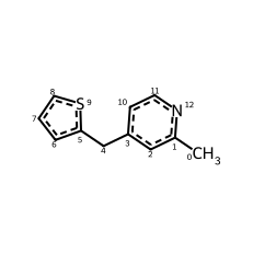 Cc1cc(Cc2cccs2)ccn1